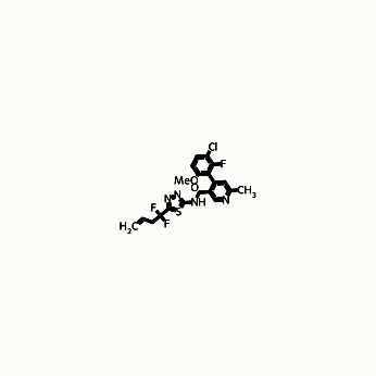 C=CCC(F)(F)c1nnc(NC(=O)c2cnc(C)cc2-c2c(OC)ccc(Cl)c2F)s1